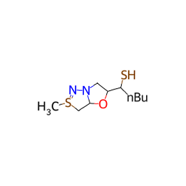 CCCCC(S)C1CN2N=S(C)CC2O1